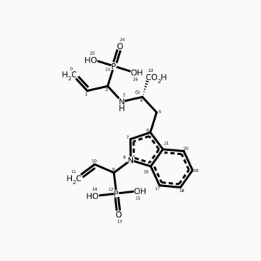 C=CC(N[C@@H](Cc1cn(C(C=C)P(=O)(O)O)c2ccccc12)C(=O)O)P(=O)(O)O